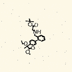 CCOC(C)(C(=O)OC)c1ccc(-c2ccccc2CNCC(=O)OC(C)(C)C)cc1